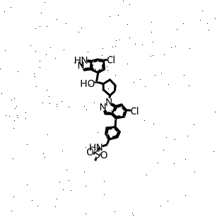 CS(=O)(=O)NCc1ccc(-c2cc(Cl)cc3c2cnn3C2CCCC(C(O)c3cc(Cl)cc4[nH]ncc34)C2)cc1